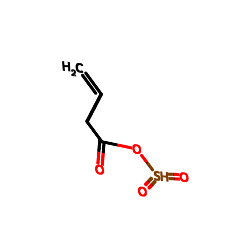 C=CCC(=O)O[SH](=O)=O